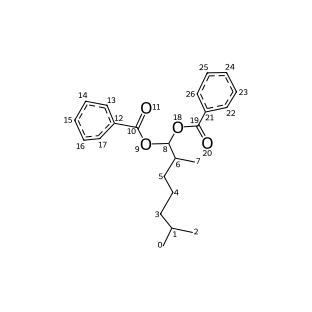 CC(C)CCCC(C)C(OC(=O)c1ccccc1)OC(=O)c1ccccc1